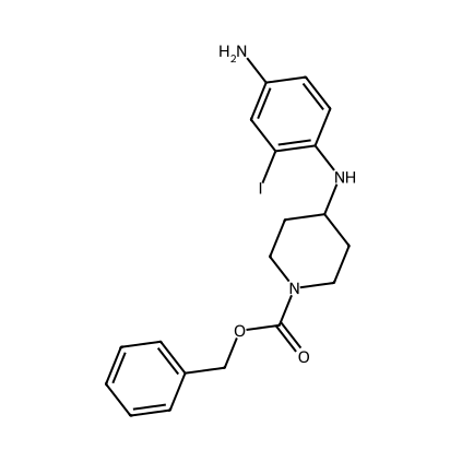 Nc1ccc(NC2CCN(C(=O)OCc3ccccc3)CC2)c(I)c1